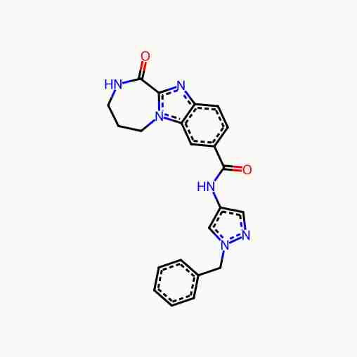 O=C(Nc1cnn(Cc2ccccc2)c1)c1ccc2nc3n(c2c1)CCCNC3=O